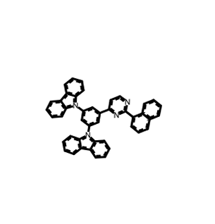 c1ccc2c(-c3nccc(-c4cc(-n5c6ccccc6c6ccccc65)cc(-n5c6ccccc6c6ccccc65)c4)n3)cccc2c1